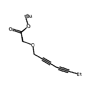 CCC#CC#CCOCC(=O)OC(C)(C)C